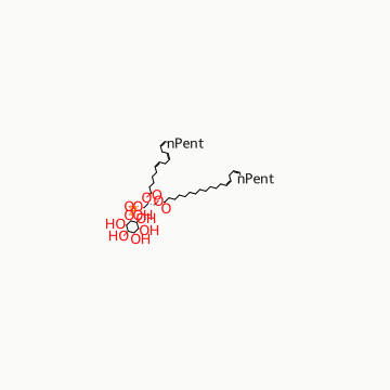 CCCCC/C=C\C/C=C\C/C=C\CCCCC(=O)O[C@H](COC(=O)CCCCCCCCCCC/C=C\C/C=C\CCCCC)COP(=O)(O)OC1C(O)C(O)C(O)[C@@H](O)C1O